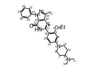 CCOc1cc(N2CCC(N(C)C)CC2)ccc1-c1nc2c(C)nn(-c3ccccc3)c2c(=O)[nH]1